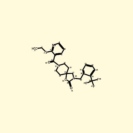 CCSc1ncccc1C(=O)N1CCC2(CC1)CN(Cc1ccccc1C(F)(F)F)C(=O)O2